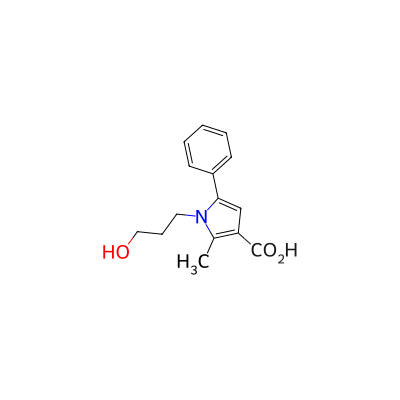 Cc1c(C(=O)O)cc(-c2ccccc2)n1CCCO